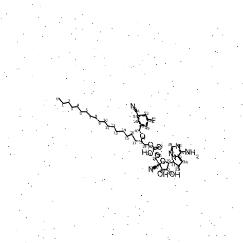 CCCCCCCCCCCCCCCCCC[C@H](COP(=O)(O)OC[C@@]1(C#N)O[C@@H](C2C(C)C=C3C(N)=NC=NN32)[C@H](O)[C@@H]1O)OCc1cc(F)cc(C#N)c1